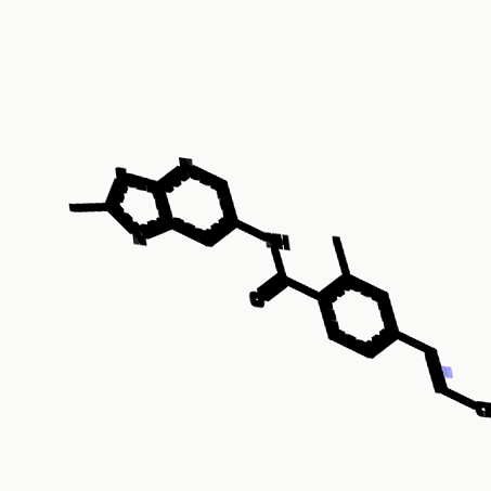 Cc1nc2cc(NC(=O)c3ccc(/C=C/C(F)(F)F)cc3C)cnc2s1